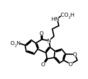 O=C(O)NCCCn1c2c(c3ccc([N+](=O)[O-])cc3c1=O)C(=O)c1cc3c(cc1-2)OCO3